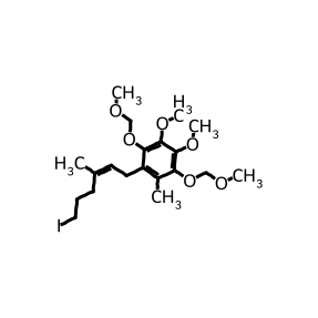 COCOc1c(C)c(CC=C(C)CCCI)c(OCOC)c(OC)c1OC